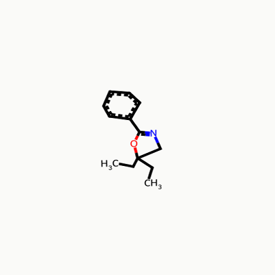 CCC1(CC)CN=C(c2ccccc2)O1